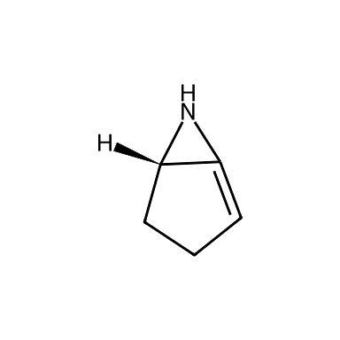 C1=C2N[C@H]2CC1